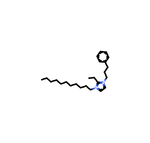 CCCCCCCCCCCn1cc[n+](CCCc2ccccc2)c1CC